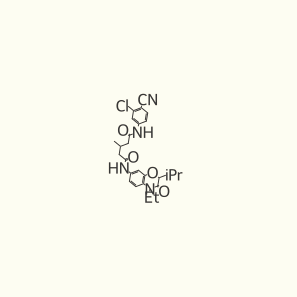 CCN1C(=O)C(C(C)C)Oc2cc(NC(=O)CC(C)CC(=O)Nc3ccc(C#N)c(Cl)c3)ccc21